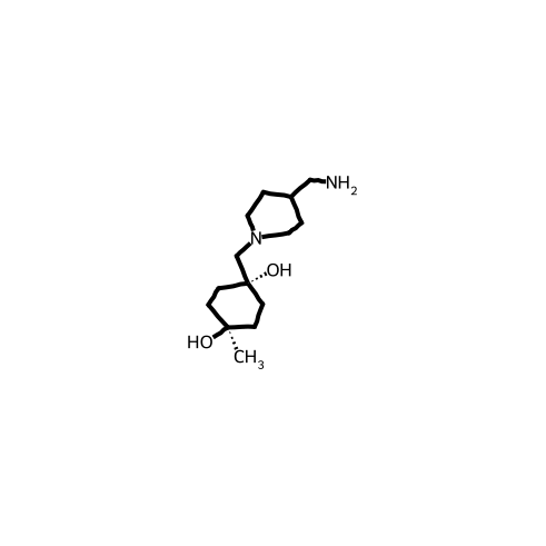 C[C@]1(O)CC[C@@](O)(CN2CCC(CN)CC2)CC1